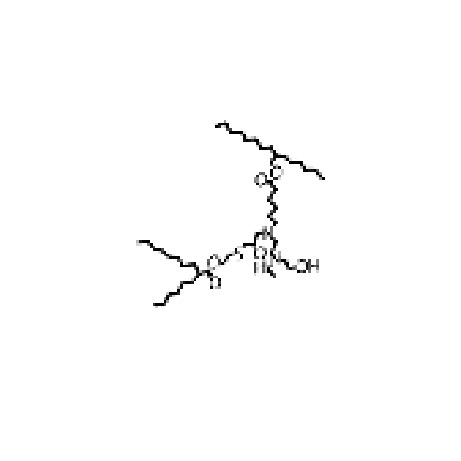 CCCCCCCCC(CCCCCC)COC(=O)CCCCCN(CCN(CC)CCO)CC(O)CSCCOC(=O)C(CCCCCC)CCCCCCCC